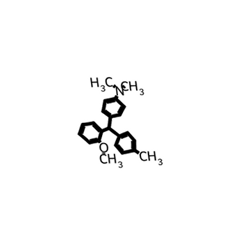 COc1ccccc1C(c1ccc(C)cc1)c1ccc(N(C)C)cc1